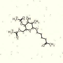 CC(=O)CCCCOC1OC(COC(C)=O)C(OC(C)=O)C(O)C1C